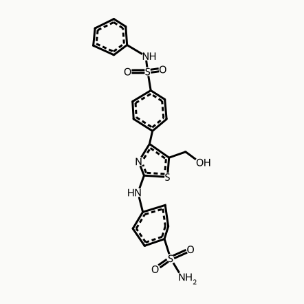 NS(=O)(=O)c1ccc(Nc2nc(-c3ccc(S(=O)(=O)Nc4ccccc4)cc3)c(CO)s2)cc1